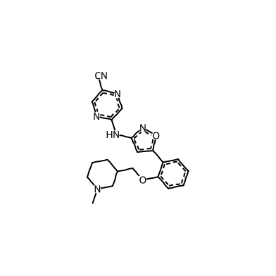 CN1CCCC(COc2ccccc2-c2cc(Nc3cnc(C#N)cn3)no2)C1